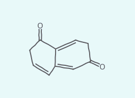 O=C1C=C2C=CCC(=O)C2=CC1